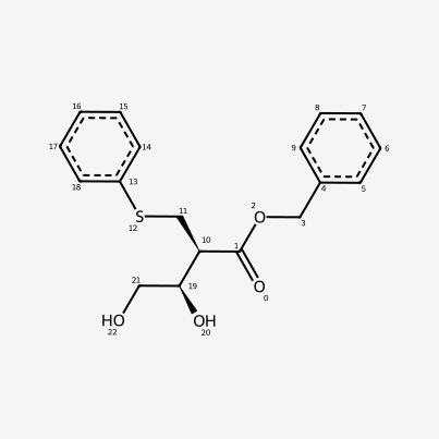 O=C(OCc1ccccc1)[C@H](CSc1ccccc1)[C@@H](O)CO